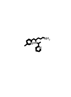 Cc1ccc(CC(CCCN)NC(C)c2ccccn2)nc1